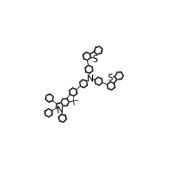 CC1(C)c2cc(-c3ccc(N(c4ccc(-c5cccc6c5sc5ccccc56)cc4)c4ccc(-c5cccc6c5sc5ccccc56)cc4)cc3)ccc2-c2cc3c(-c4ccccc4)c(-c4ccccc4)n(-c4ccccc4)c3cc21